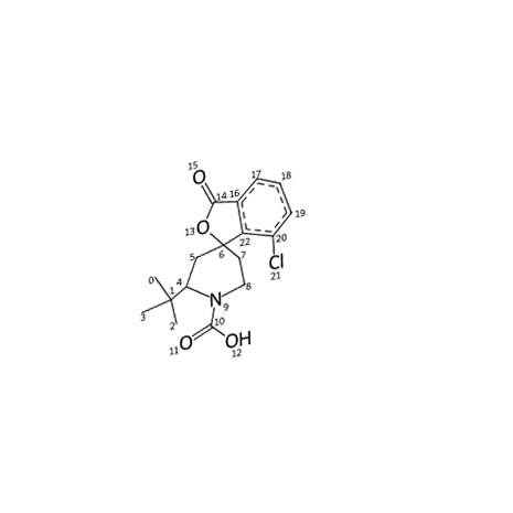 CC(C)(C)C1CC2(CCN1C(=O)O)OC(=O)c1cccc(Cl)c12